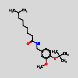 COc1cc(CNC(=O)CCCCCCC(C)C)ccc1OC(C)(C)C